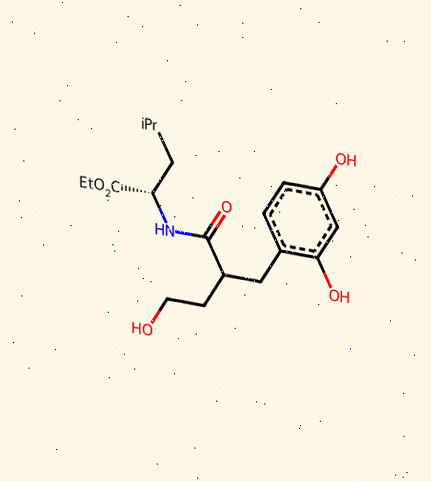 CCOC(=O)[C@H](CC(C)C)NC(=O)C(CCO)Cc1ccc(O)cc1O